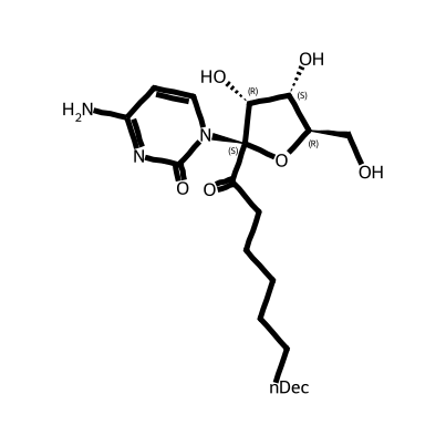 CCCCCCCCCCCCCCCC(=O)[C@@]1(n2ccc(N)nc2=O)O[C@H](CO)[C@@H](O)[C@H]1O